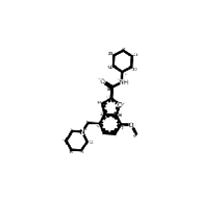 COc1ccc(CN2CCCCC2)c2cc(C(=O)NC3CCCCC3)oc12